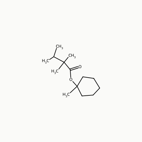 CC(C)C(C)(C)C(=O)OC1(C)CCCCC1